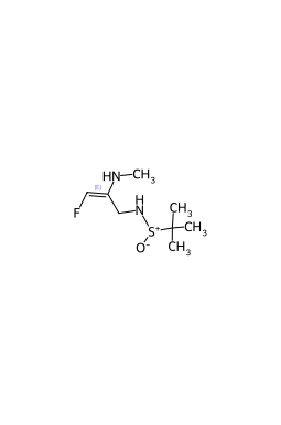 CN/C(=C/F)CN[S+]([O-])C(C)(C)C